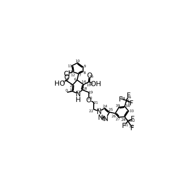 CC1=C(C(=O)O)C(c2ccccc2Cl)C(C(=O)O)=C(COCCn2cc(-c3cc(C(F)(F)F)cc(C(F)(F)F)c3)nn2)N1